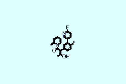 C=C1C=CC=CN1C(=O)/C(=C(\C)O)c1ccc(F)c(-c2ccc(F)nc2)c1